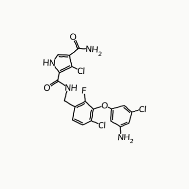 NC(=O)c1c[nH]c(C(=O)NCc2ccc(Cl)c(Oc3cc(N)cc(Cl)c3)c2F)c1Cl